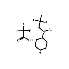 CC(=O)N(CC(C)(F)F)C1CCNCC1.O=C(O)C(F)(F)F